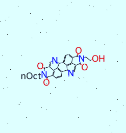 CCCCCCCCN1C(=O)c2ccc3c4ncc5c6c(ccc(c7ncc(c2c37)C1=O)c64)C(=O)N(CCO)C5=O